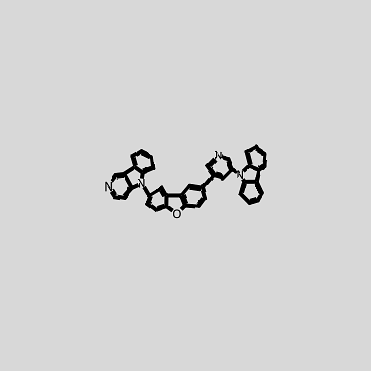 c1ccc2c(c1)c1ccccc1n2-c1cncc(-c2ccc3oc4ccc(-n5c6ccccc6c6cnccc65)cc4c3c2)c1